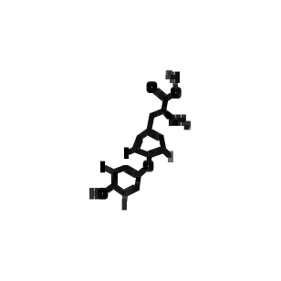 [2H]OC(=O)[C@@H](N)Cc1cc(I)c(Oc2cc(I)c(O)c(I)c2)c(I)c1